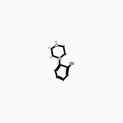 Brc1ccccc1N1CCOCC1